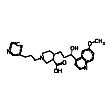 COc1ccc2nccc([C@@H](O)CC[C@@H]3CCN(CCCc4cccnc4)C[C@@H]3C(=O)O)c2c1